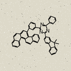 CC1(C)c2ccccc2-c2ccc(-c3nc(-c4ccccc4)nc(-c4cccc(-c5cc6ccc7ccccc7c6c6ccc7ccccc7c56)c4)n3)cc21